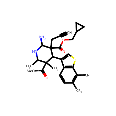 C#CCC1(C(=O)OCC2CC2)C(N)NC(C)C(C)(C(=O)OC)C1c1csc2c(C#N)c(C(F)(F)F)ccc12